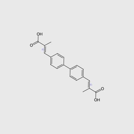 C/C(=C\c1ccc(-c2ccc(/C=C(\C)C(=O)O)cc2)cc1)C(=O)O